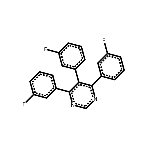 Fc1cccc(-c2ncnc(-c3cccc(F)c3)c2-c2cccc(F)c2)c1